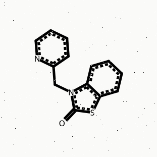 O=c1sc2ccccc2n1Cc1ccccn1